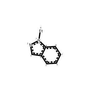 CCn1ncc2cc[c]cc21